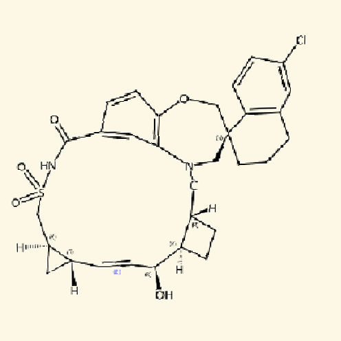 O=C1NS(=O)(=O)C[C@@H]2C[C@H]2/C=C/[C@H](O)[C@@H]2CC[C@H]2CN2C[C@@]3(CCCc4cc(Cl)ccc43)COc3ccc1cc32